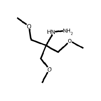 COCC(COC)(COC)NN